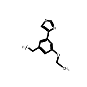 CCOc1cc(CC)cc(-c2cscn2)c1